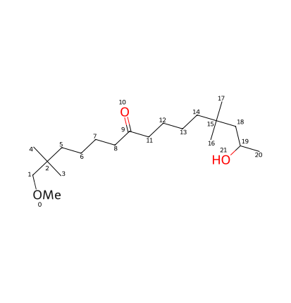 COCC(C)(C)CCCCC(=O)CCCCC(C)(C)CC(C)O